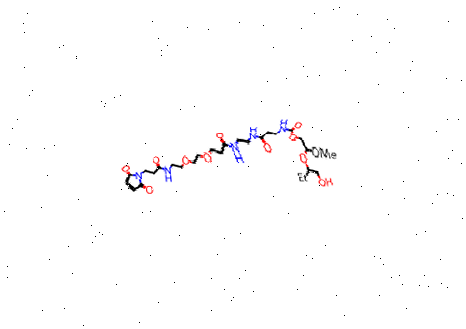 CCC(CO)OC(COC(=O)NCCC(=O)NCCNC(=O)CCOCCOCCNC(=O)CCN1C(=O)C=CC1=O)OC